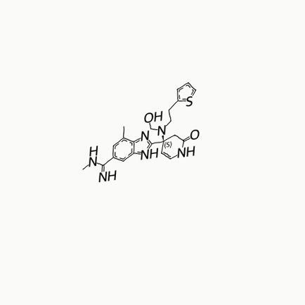 CNC(=N)c1cc(C)c2nc([C@@]3(N(CO)CCc4cccs4)C=CNC(=O)C3)[nH]c2c1